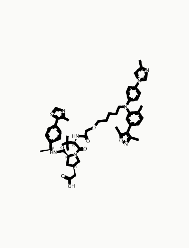 Cc1cn(-c2ccc(N(CCCCCOCC(=O)N[C@H](C(=O)N3C[C@@H](CC(=O)O)C[C@H]3C(=O)N[C@@H](C)c3ccc(-c4scnc4C)cc3)C(C)(C)C)c3cc(-c4c(C)noc4C)ccc3C)cc2)cn1